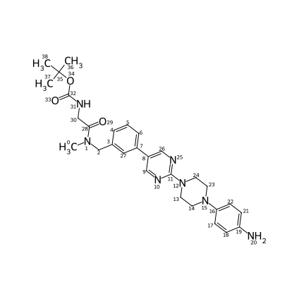 CN(Cc1cccc(-c2cnc(N3CCN(c4ccc(N)cc4)CC3)nc2)c1)C(=O)CNC(=O)OC(C)(C)C